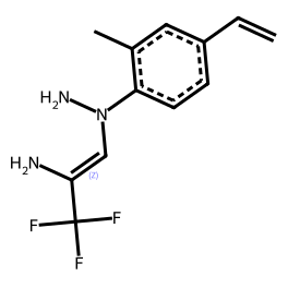 C=Cc1ccc(N(N)/C=C(\N)C(F)(F)F)c(C)c1